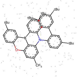 Cc1cc2c3c(c1)N(c1ccc(C(C)(C)C)cc1-c1cc(C(C)(C)C)cc(C(C)(C)C)c1)c1cc(C(C)(C)C)ccc1B3c1cc(C(C)(C)C)ccc1O2